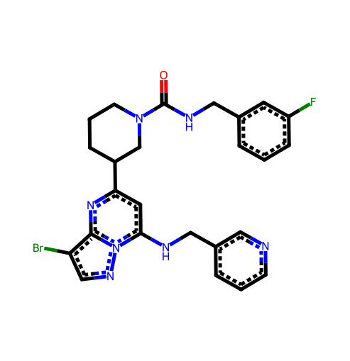 O=C(NCc1cccc(F)c1)N1CCCC(c2cc(NCc3cccnc3)n3ncc(Br)c3n2)C1